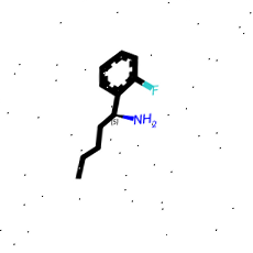 CCCC[C@H](N)c1ccccc1F